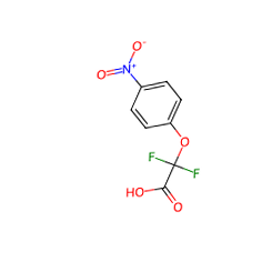 O=C(O)C(F)(F)Oc1ccc([N+](=O)[O-])cc1